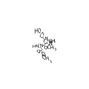 COC(=O)CC1CNCCN1C(=O)c1cc(-c2ccc(O)cc2)nc2[nH]nc(C)c12